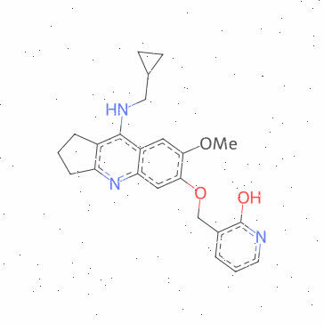 COc1cc2c(NCC3CC3)c3c(nc2cc1OCc1cccnc1O)CCC3